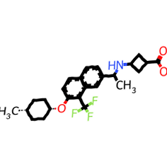 CC(NC1CC(C(=O)O)C1)c1ccc2ccc(O[C@H]3CC[C@@H](C)CC3)c(C(F)(F)F)c2c1